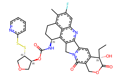 CC[C@@]1(O)C(=O)OCc2c1cc1n(c2=O)Cc2c-1nc1cc(F)c(C)c3c1c2[C@@H](NC(=O)O[C@H]1COC[C@@H]1SSc1ccccn1)CC3